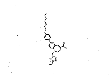 CCCCOCCOc1ccc(-c2ccc3c(c2)C=C(C(=O)O)CCN3CN2C=NN(CC)N2)cc1